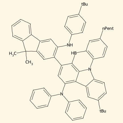 CCCCCc1ccc2c(c1)Bc1c(-c3cc4c(cc3Nc3ccc(C(C)(C)C)cc3)-c3ccccc3C4(C)C)cc(N(c3ccccc3)c3ccccc3)c3c4cc(C(C)(C)C)ccc4n-2c13